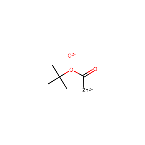 CC(C)(C)O[C](=O)[Zn+2].[O-2]